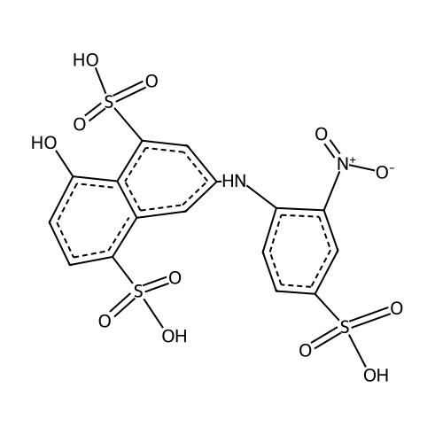 O=[N+]([O-])c1cc(S(=O)(=O)O)ccc1Nc1cc(S(=O)(=O)O)c2c(O)ccc(S(=O)(=O)O)c2c1